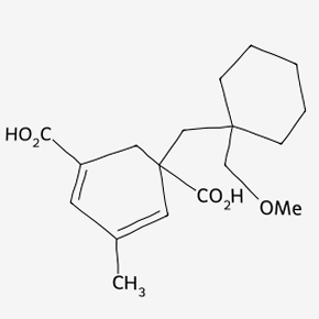 COCC1(CC2(C(=O)O)C=C(C)C=C(C(=O)O)C2)CCCCC1